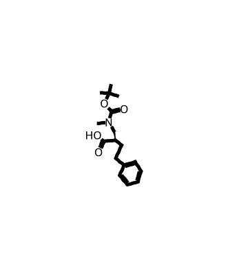 CN(C[C@@H](CCc1ccccc1)C(=O)O)C(=O)OC(C)(C)C